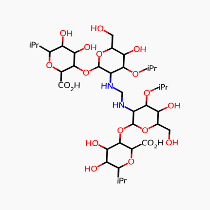 CC(C)OC1C(O)C(CO)OC(OC2C(C(=O)O)OC(C(C)C)C(O)C2O)C1NCNC1C(OC2C(C(=O)O)OC(C(C)C)C(O)C2O)OC(CO)C(O)C1OC(C)C